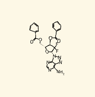 Nc1ncnc2c1nnn2[C@@H]1O[C@H](COC(=O)c2ccccc2)[C@@H](OC(=O)c2ccccc2)C1(F)F